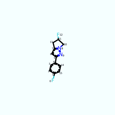 Fc1ccc(-c2cc3n(n2)CC(F)C3)cc1